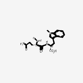 Cn1cc(C[C@@H](NC(=O)[C@H](CCC(N)=O)NCl)C(=O)O)c2ccccc21